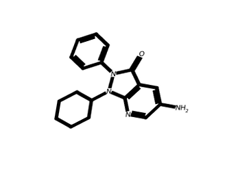 Nc1cnc2c(c1)c(=O)n(-c1ccccc1)n2C1CCCCC1